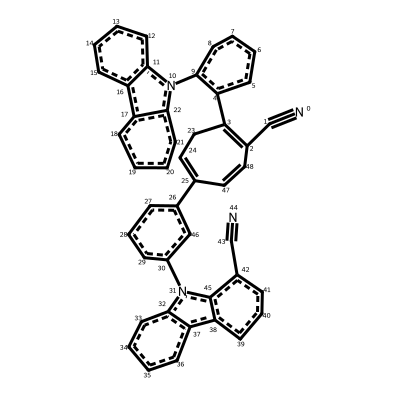 N#CC1=C(c2ccccc2-n2c3ccccc3c3ccccc32)CC=C(c2cccc(-n3c4ccccc4c4cccc(C#N)c43)c2)C=C1